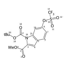 COC(=O)c1cc2ccc(OS(=O)(=O)C(F)(F)F)cc2n1C(=O)OC(C)(C)C